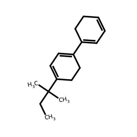 CCC(C)(C)C1=CC=C(C2=CC=CCC2)CC1